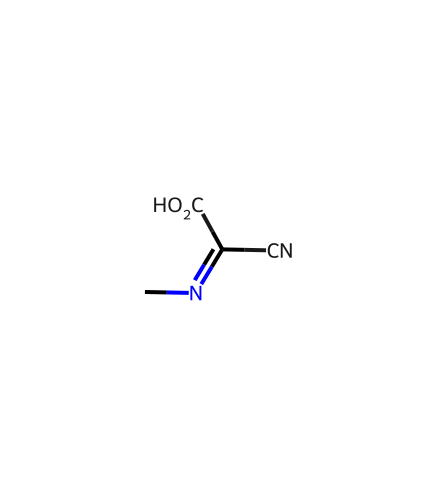 CN=C(C#N)C(=O)O